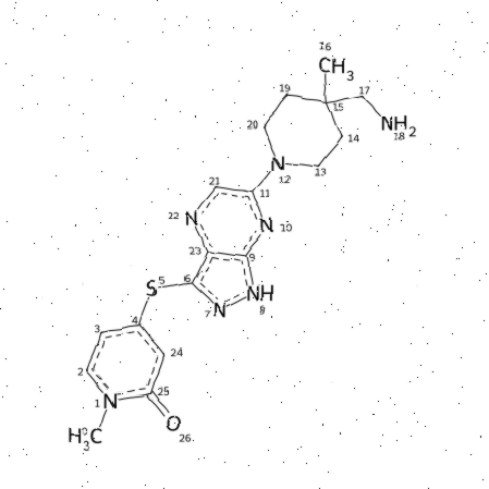 Cn1ccc(Sc2n[nH]c3nc(N4CCC(C)(CN)CC4)cnc23)cc1=O